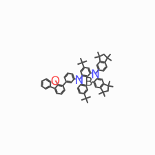 CC(C)(C)c1ccc2c(c1)B1c3cc4c(cc3N(c3ccc5c(c3)C(C)(C)CC5(C)C)c3cc(C(C)(C)C)cc(c31)N2c1cccc(-c2cccc3c2oc2ccccc23)c1)C(C)(C)CC4(C)C